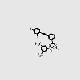 Cc1cc(C)cc(S(C)(=O)=NC(=O)c2cncc(C#Cc3ccc(F)cc3F)c2)c1